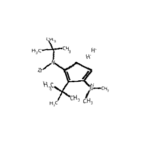 C[SiH](C)C1=CCC([N]([Zr])C(C)(C)C)=C1C(C)(C)C.[H-].[H-]